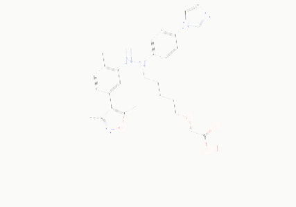 Cc1ccc(-c2c(C)noc2C)cc1NN(CCCCCOCC(=O)O)c1ccc(-n2ccnc2)cc1